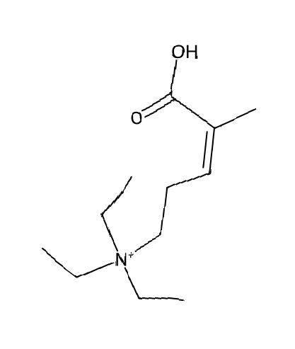 CC[N+](CC)(CC)CCC=C(C)C(=O)O